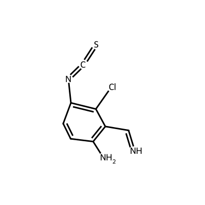 N=Cc1c(N)ccc(N=C=S)c1Cl